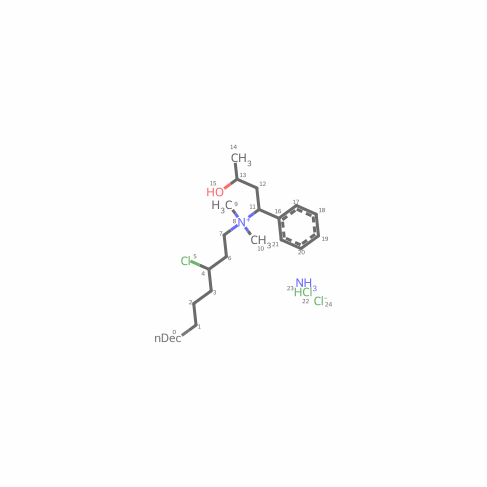 CCCCCCCCCCCCCC(Cl)CC[N+](C)(C)C(CC(C)O)c1ccccc1.Cl.N.[Cl-]